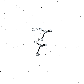 O=[Se]([O-])O.O=[Se]([O-])O.[Ca+2]